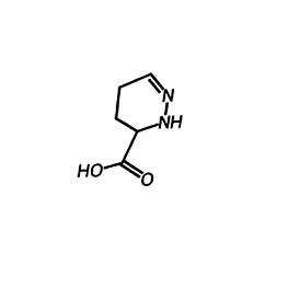 O=C(O)C1CCC=NN1